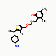 CCC(c1scc(COCNCc2c(C)cc(C)[nH]c2=O)c1C)[C@H]1CC[C@@H](N)CC1